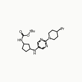 CC(C)C1CCN(c2ncc(NC3CCC(NC(=O)OC(C)(C)C)C3)cn2)CC1